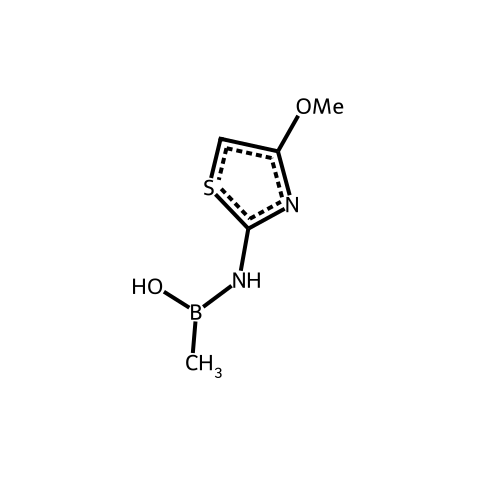 COc1csc(NB(C)O)n1